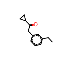 CCc1cccc(CC(=O)C2CC2)c1